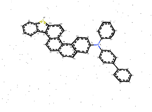 c1ccc(-c2ccc(N(c3ccccc3)c3ccc4c(ccc5ccc6c(ccc7sc8ccccc8c76)c54)c3)cc2)cc1